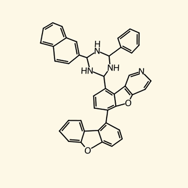 c1ccc(C2NC(c3ccc4ccccc4c3)NC(c3ccc(-c4cccc5oc6ccccc6c45)c4oc5ccncc5c34)N2)cc1